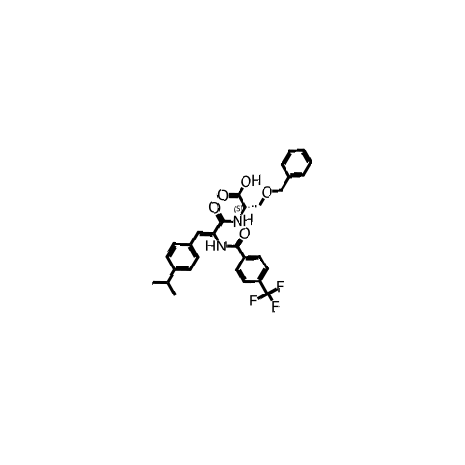 CC(C)c1ccc(C=C(NC(=O)c2ccc(C(F)(F)F)cc2)C(=O)N[C@@H](COCc2ccccc2)C(=O)O)cc1